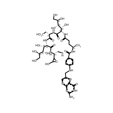 C[C@H](CCC(=O)N[C@H](C(=O)N[C@@H](CC(=O)O)C(=O)N[C@H](C(=O)N[C@H](CS)C1OC1O)[C@@H](O)[C@H](O)[C@H](O)CO)[C@@H](O)[C@H](O)[C@H](O)CO)NC(=O)c1ccc(NCc2cnc3nc(N)[nH]c(=O)c3n2)cc1